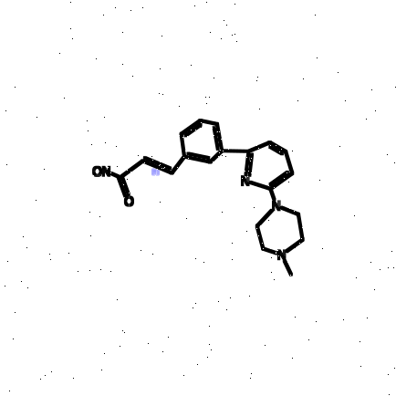 CN1CCN(c2cccc(-c3cccc(/C=C/C(=O)N=O)c3)n2)CC1